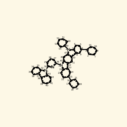 c1ccc(-c2ccc3c(c2)c2cc4c5cc(-c6ccccc6)ccc5n(-c5cccc(-n6c7ccccc7c7ccccc76)n5)c4cc2n3-c2ccccc2)cc1